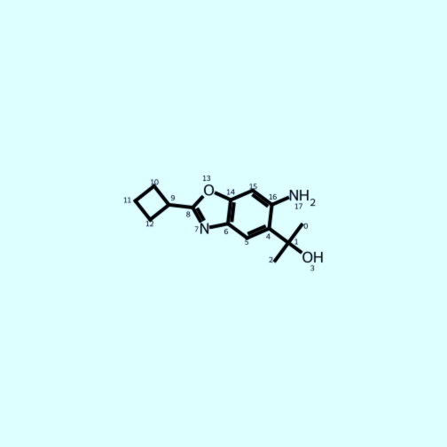 CC(C)(O)c1cc2nc(C3CCC3)oc2cc1N